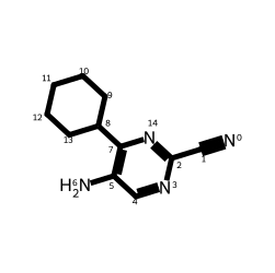 N#Cc1ncc(N)c(C2CCCCC2)n1